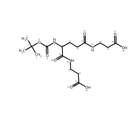 CC(C)(C)OC(=O)NC(CCC(=O)NCCC(=O)O)C(=O)NCCC(=O)O